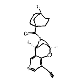 C#Cc1cncc2c1O[C@H]1C[C@@H]2N(C(=O)C23CCC(F)(CC2)C3)C1